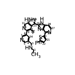 CCNCc1cncc(-c2ncc3[nH]nc(-c4nc5c(-c6ccc(F)s6)nccc5[nH]4)c3c2F)c1